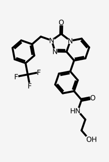 O=C(NCCO)c1cccc(-c2cccn3c(=O)n(Cc4cccc(C(F)(F)F)c4)nc23)c1